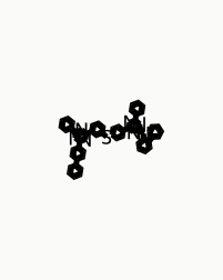 c1ccc(-c2ccc(-c3nc(-c4ccccc4)nc(-c4cccc(Sc5ccc(-c6nc(-c7ccccc7)nc(-n7c8ccccc8c8ccccc87)n6)cc5)c4)n3)cc2)cc1